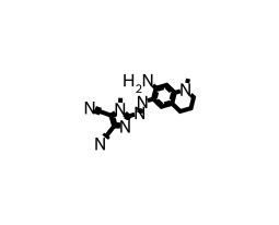 CN1CCCc2cc(N=Nc3nc(C#N)c(C#N)n3C)c(N)cc21